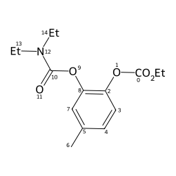 CCOC(=O)Oc1ccc(C)cc1OC(=O)N(CC)CC